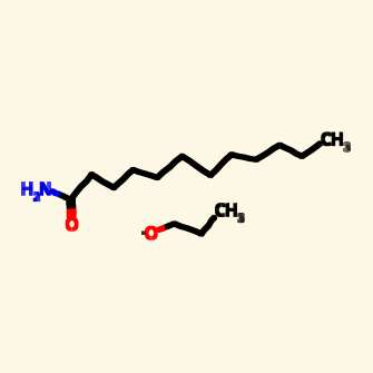 CCCCCCCCCCCC(N)=O.CCC[O]